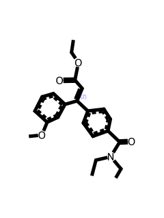 CCOC(=O)/C=C(/c1ccc(C(=O)N(CC)CC)cc1)c1cccc(OC)c1